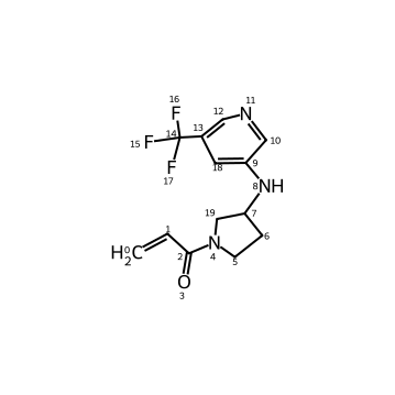 C=CC(=O)N1CCC(Nc2cncc(C(F)(F)F)c2)C1